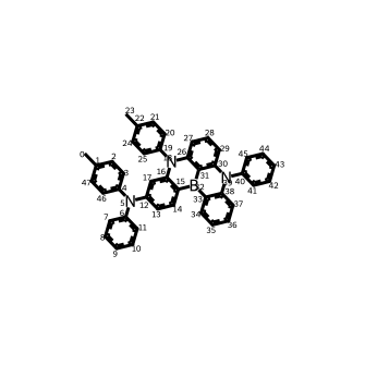 Cc1ccc(N(c2ccccc2)c2ccc3c(c2)N(c2ccc(C)cc2)c2cccc4c2B3c2ccccc2N4c2ccccc2)cc1